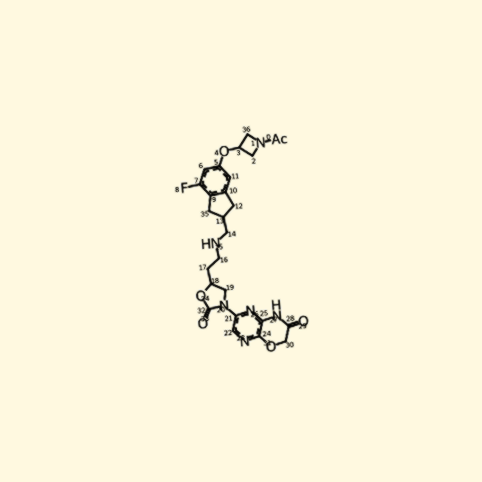 CC(=O)N1CC(Oc2cc(F)c3c(c2)CC(CNCCC2CN(c4cnc5c(n4)NC(=O)CO5)C(=O)O2)C3)C1